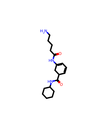 NCCCCC(=O)NC1=CC=CC(C(=O)NC2CCCCC2)C1